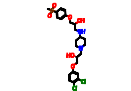 CS(=O)(=O)c1ccc(OC[C@@H](O)CNC2CCN(C[C@@H](O)COc3ccc(Cl)c(Cl)c3)CC2)cc1